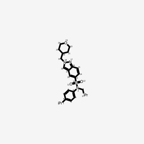 CC(C)CN(c1ccc(C(C)C)cc1)S(=O)(=O)c1ccc2nn(CC3CCOCC3)cc2c1